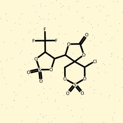 O=C1OC(C2OS(=O)(=O)OC2C(F)(F)F)C2(COS(=O)(=O)OC2Cl)O1